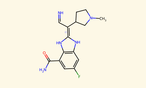 CN1CCC(/C(C=N)=C2\Nc3cc(F)cc(C(N)=O)c3N2)C1